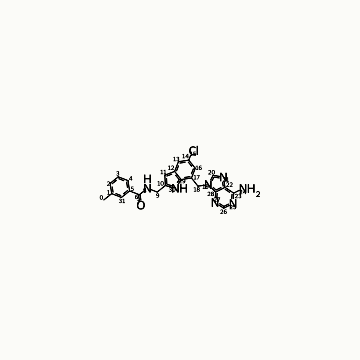 Cc1cccc(C(=O)NCc2cc3cc(Cl)cc(Cn4cnc5c(N)ncnc54)c3[nH]2)c1